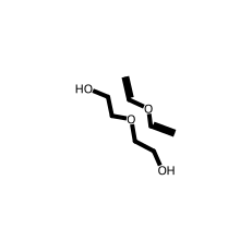 C=COC=C.OCCOCCO